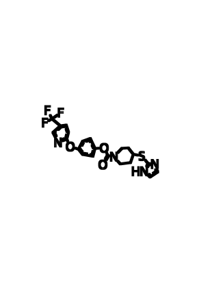 O=C(Oc1ccc(Oc2ccc(C(F)(F)F)cn2)cc1)N1CCC(Sc2ncc[nH]2)CC1